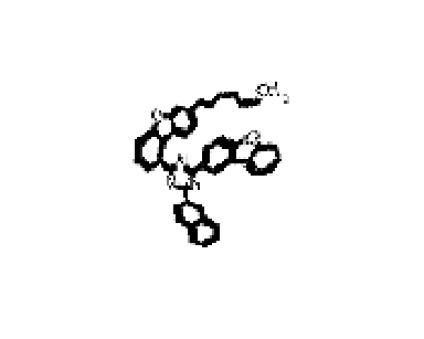 C\C=C/C=C\C=C\c1ccc2c(c1)oc1cccc(-c3nc(-c4ccc5ccccc5c4)nc(-c4ccc5oc6ccccc6c5c4)n3)c12